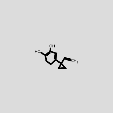 C=CC1(C2=CC(O)=C(O)CC2)CC1